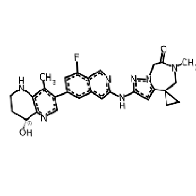 Cc1c(-c2cc(F)c3cnc(Nc4cc5n(n4)CC(=O)N(C)CC54CC4)cc3c2)cnc2c1NCC[C@H]2O